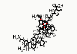 CC(=O)NC(CCCCN)C(=O)N1CCCC1C(=O)N1CCCC1C(=O)N1CCCC1C(=O)NC(CCCCN)C(=O)N1CCCC1C(=O)N1CCCC1C(=O)N1CCCC1C(=O)NC(CCCCN)C(=O)NCC(=O)NCC(=O)NC(CS)C(=O)O